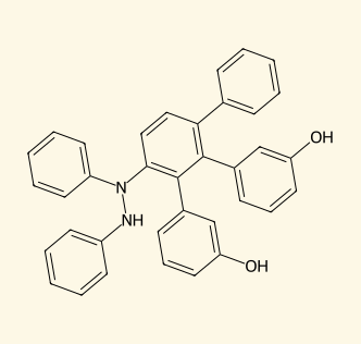 Oc1cccc(-c2c(-c3ccccc3)ccc(N(Nc3ccccc3)c3ccccc3)c2-c2cccc(O)c2)c1